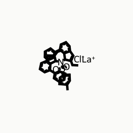 CCC1=Cc2cccc(-c3ccccc3)c2C1N(C1C(CC)=Cc2cccc(-c3ccccc3)c21)S(=O)(=O)c1ccc(C)cc1.[Cl-].[La+]